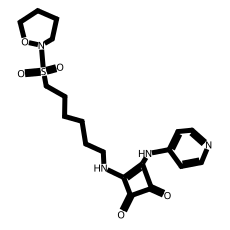 O=c1c(NCCCCCCS(=O)(=O)N2CCCCO2)c(Nc2ccncc2)c1=O